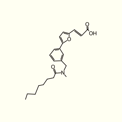 CCCCCCCC(=O)N(C)Cc1cccc(-c2ccc(C=CC(=O)O)o2)c1